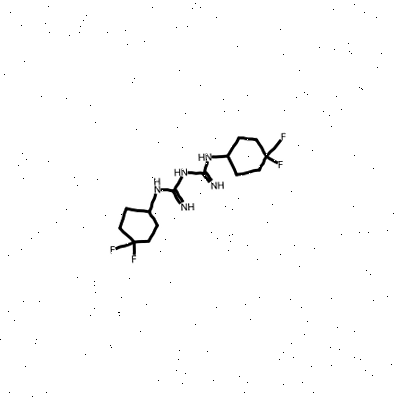 N=C(NC(=N)NC1CCC(F)(F)CC1)NC1CCC(F)(F)CC1